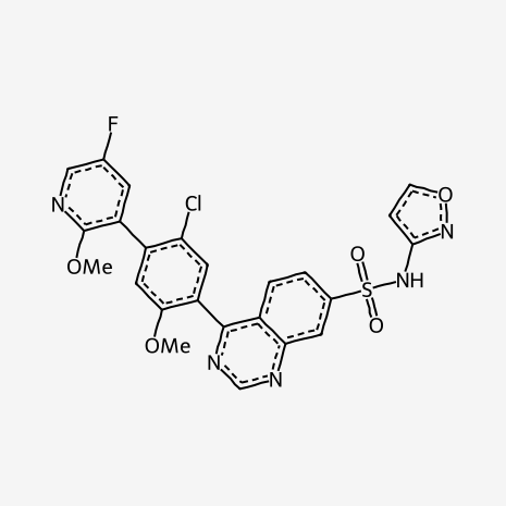 COc1cc(-c2cc(F)cnc2OC)c(Cl)cc1-c1ncnc2cc(S(=O)(=O)Nc3ccon3)ccc12